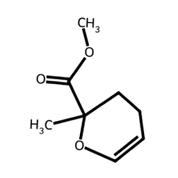 COC(=O)C1(C)CCC=CO1